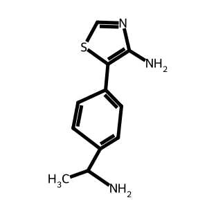 CC(N)c1ccc(-c2scnc2N)cc1